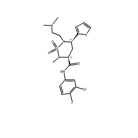 CN(C)CCN1[C@@H](c2cccs2)C[C@@H](C(=O)Nc2ccc(F)c(Cl)c2)N(C)S1(=O)=O